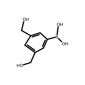 OCc1cc(CO)cc(B(O)O)c1